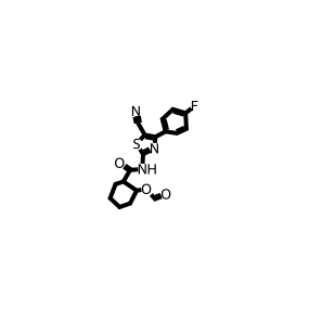 N#Cc1sc(NC(=O)C2CCCCC2OC=O)nc1-c1ccc(F)cc1